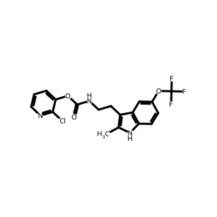 Cc1[nH]c2ccc(OC(F)(F)F)cc2c1CCNC(=O)Oc1cccnc1Cl